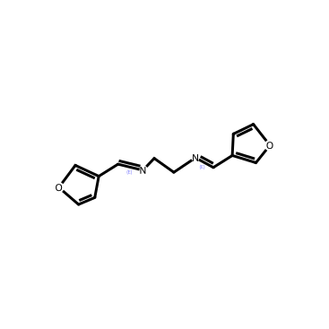 C(=N\CC/N=C/c1ccoc1)/c1ccoc1